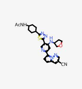 CC(=O)NC1CCC(c2nnc(-c3cnc(-c4ccc5cc(C#N)cnn45)cc3NC3CCOC3)s2)CC1